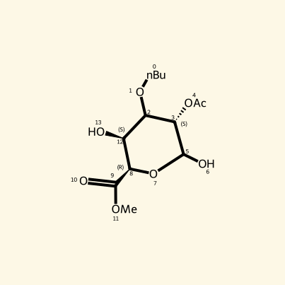 CCCCOC1[C@H](OC(C)=O)C(O)O[C@@H](C(=O)OC)[C@H]1O